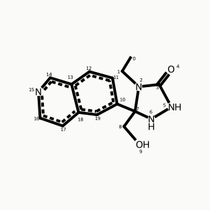 CCN1C(=O)NNC1(CO)c1ccc2cnccc2c1